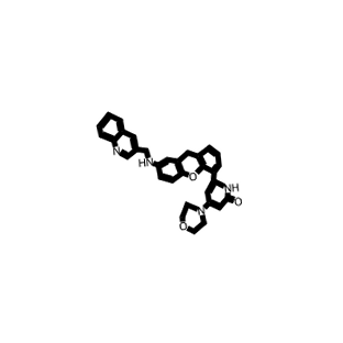 O=c1cc(N2CCOCC2)cc(-c2cccc3c2Oc2ccc(NCc4cnc5ccccc5c4)cc2C3)[nH]1